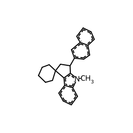 Cn1c2c(c3ccccc31)C1(CCCCC1)CC2c1ccc2ccccc2c1